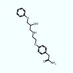 NC(=O)Cc1ccc(OCCNCC(O)COc2ccccc2)cc1